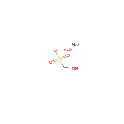 O.O=S(=O)([O-])CO.[Na+]